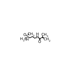 C=C(C)C(=O)NCCC[SH](C)(C)=O